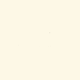 O=Cc1ccc(OCCCCBr)cc1O